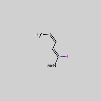 C/C=C\C=C(/I)NC